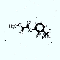 COC(=O)C(=O)Oc1cccc(C(F)(F)F)c1F